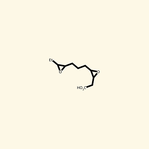 CCC1OC1CCCC1OC1CC(=O)O